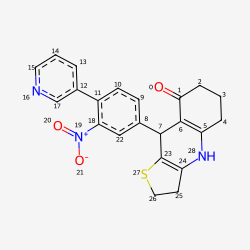 O=C1CCCC2=C1C(c1ccc(-c3cccnc3)c([N+](=O)[O-])c1)C1=C(CCS1)N2